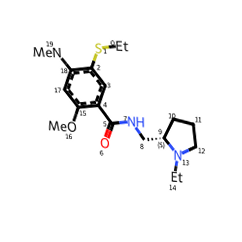 CCSc1cc(C(=O)NC[C@@H]2CCCN2CC)c(OC)cc1NC